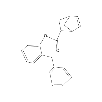 O=C(Oc1ccccc1Cc1ccccc1)C1CC2C=CC1C2